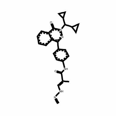 C=NN/C=C(\C)C(=O)Nc1ccc(-c2nn(C(C3CC3)C3CC3)c(=O)c3ccccc23)cc1